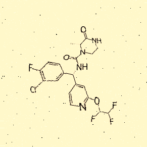 C[C@@H]1C(=O)NCCN1C(=O)N[C@H](c1ccnc(OC(F)C(F)F)c1)c1ccc(F)c(Cl)c1